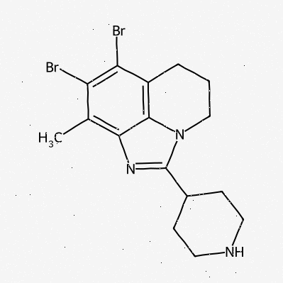 Cc1c(Br)c(Br)c2c3c1nc(C1CCNCC1)n3CCC2